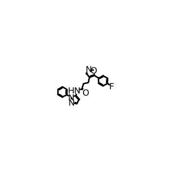 O=C(CCc1cnoc1-c1ccc(F)cc1)Nc1ccnn1-c1ccccc1